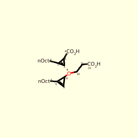 CCCCCCCCC1=CC1C(=O)O.CCCCCCCCC1=CC1OCCC(=O)O